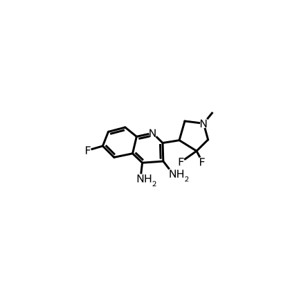 CN1CC(c2nc3ccc(F)cc3c(N)c2N)C(F)(F)C1